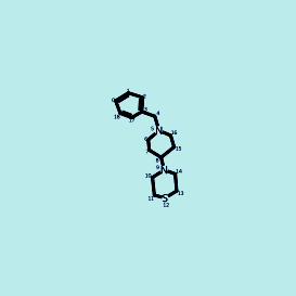 c1ccc(CN2CCC(N3CCSCC3)CC2)cc1